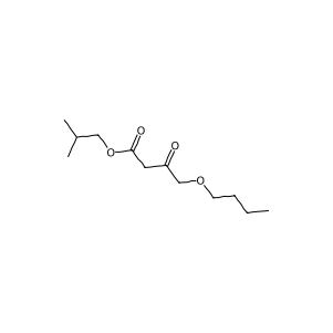 CCCCOCC(=O)CC(=O)OCC(C)C